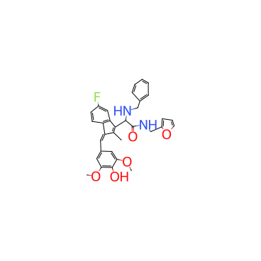 COc1cc(C=C2C(C)=C(C(NCc3ccccc3)C(=O)NCc3ccco3)c3cc(F)ccc32)cc(OC)c1O